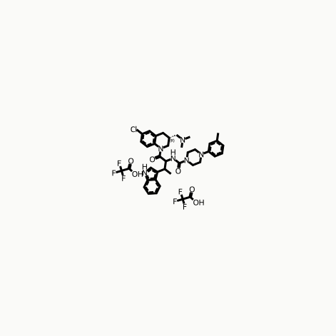 Cc1cccc(N2CCN(C(=O)NC(C(=O)N3C[C@@H](CN(C)C)Cc4cc(Cl)ccc43)C(C)c3c[nH]c4ccccc34)CC2)c1.O=C(O)C(F)(F)F.O=C(O)C(F)(F)F